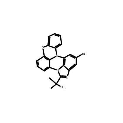 BC(C)(C)c1nc2cc(C(C)(C)C)cc3c2n1-c1cccc2c1B3c1ccccc1O2